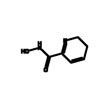 O=C(NO)C1=NCCC=C1